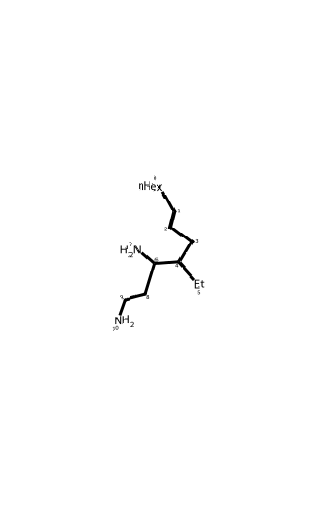 CCCCCCCCCC(CC)C(N)CCN